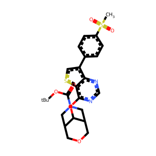 CC(C)(C)OC(=O)N1CC2COCC(C1)C2Oc1ncnc2c(-c3ccc(S(C)(=O)=O)cc3)csc12